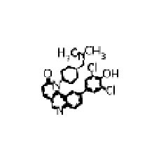 CN(C)C[C@H]1CC[C@H](n2c(=O)ccc3cnc4ccc(-c5cc(Cl)c(O)c(Cl)c5)cc4c32)CC1